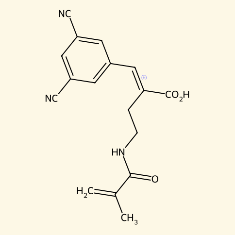 C=C(C)C(=O)NCC/C(=C\c1cc(C#N)cc(C#N)c1)C(=O)O